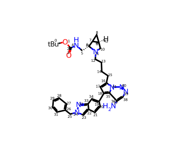 CC(C)(C)OC(=O)NC[C@@H]1C2C[C@H]2CN1CCCCc1cc(-c2ccc3cn(Cc4ccccc4)nc3c2)c2c(N)cnnn12